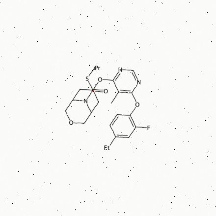 CCc1ccc(Oc2ncnc(OC3CC4COCC(C3)N4C(=O)SC(C)C)c2C)c(F)c1